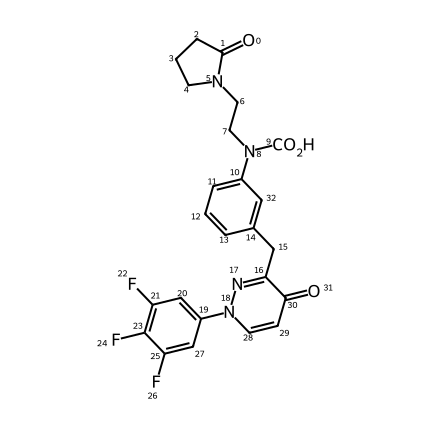 O=C1CCCN1CCN(C(=O)O)c1cccc(Cc2nn(-c3cc(F)c(F)c(F)c3)ccc2=O)c1